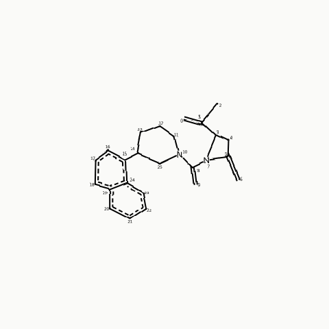 C=C(C)C1CC(=C)N1C(=C)N1CCCC(c2cccc3ccccc23)C1